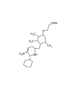 COCCOC1CC(C)C(CC2CC=C(N)C(C3CCCCC3)N2)C(C)C1C